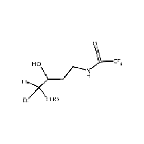 CCC([C]=O)(CC)C(O)CCNC(=O)C(F)(F)F